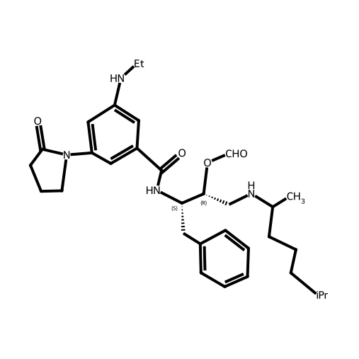 CCNc1cc(C(=O)N[C@@H](Cc2ccccc2)[C@@H](CNC(C)CCCC(C)C)OC=O)cc(N2CCCC2=O)c1